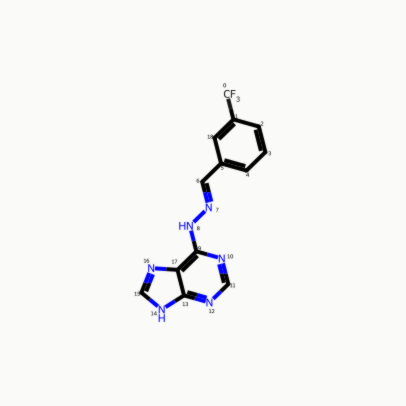 FC(F)(F)c1cccc(C=NNc2ncnc3[nH]cnc23)c1